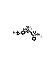 NC(=O)N(CCn1cc2c(n1)c(N)nc1cc(-c3cc[nH]n3)ccc12)c1ccccc1